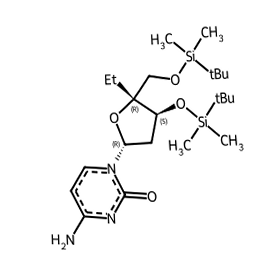 CC[C@]1(CO[Si](C)(C)C(C)(C)C)O[C@@H](n2ccc(N)nc2=O)C[C@@H]1O[Si](C)(C)C(C)(C)C